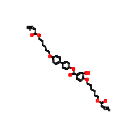 C=CC(=O)OCCCCCCOc1ccc(-c2ccc(OC(=O)c3ccc(OCCCCCCOC(=O)C=C)c(O)c3)cc2)cc1